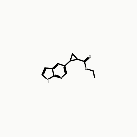 CCOC(=O)C1CC1c1cnc2[nH]ccc2c1